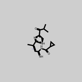 C/C(=C/C(=N)NC(=O)C1CC1)c1nc(C(=O)C(C)C)c[nH]1